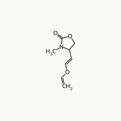 C=COC=CC1COC(=O)N1C